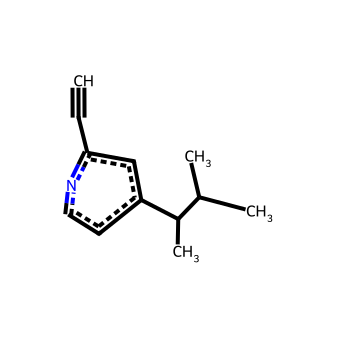 C#Cc1cc(C(C)C(C)C)ccn1